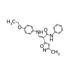 CCOc1ccc(NC=C(C(=O)Nc2ccccc2)c2cc(C)no2)cc1